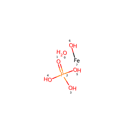 O.O=P(O)(O)O.[OH][Fe]